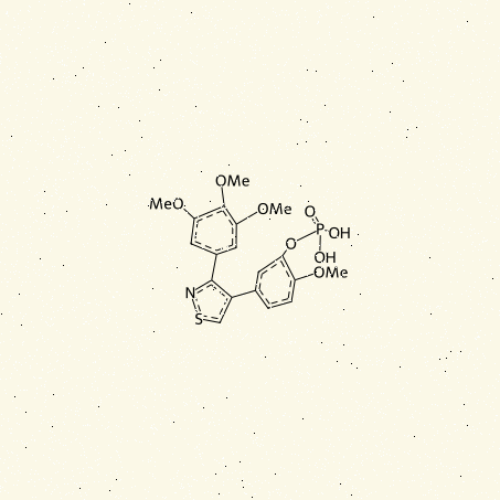 COc1ccc(-c2csnc2-c2cc(OC)c(OC)c(OC)c2)cc1OP(=O)(O)O